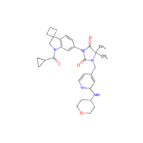 CC1(C)C(=O)N(c2ccc3c(c2)N(C(=O)C2CC2)CC32CCC2)C(=O)N1Cc1ccnc(NC2CCOCC2)c1